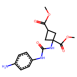 COC(=O)C1CC(NC(=O)Nc2ccc(N)cc2)(C(=O)OC)C1